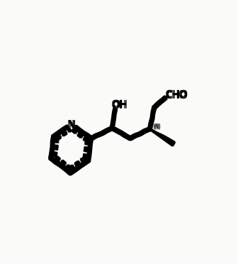 C[C@H](CC=O)CC(O)c1ccccn1